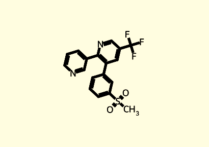 CS(=O)(=O)c1cccc(-c2cc(C(F)(F)F)cnc2-c2cccnc2)c1